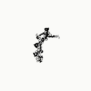 CC[C@H](C)[C@@H]([C@@H](CC(=O)N1CCC[C@H]1[C@H](OC)[C@@H](C)C(=O)N[C@@H](Cc1ccccc1)C(=O)Nc1ccc(NC(=O)[C@H](CCCCN)NC(=O)[C@H](Cc2ccccc2)NC(=O)CCCCCN2C(=O)C=CC2=O)cc1)OC)N(C)C(=O)[C@@H](NC(=O)C(C(C)C)N(C)C)C(C)C